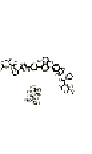 COC(=O)N[C@H](C(=O)N1CCC[C@H]1c1ncc(-c2ccc(-c3ccc(-c4ccc5nc([C@@H]6CCCN6C(=O)[C@@H](NC(=O)OC)C(C)C)[nH]c5c4)c4c3[C@@H]3CC[C@H]4C3)cc2)[nH]1)C(C)C.O=P(O)(O)O.O=P(O)(O)O